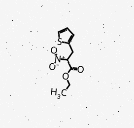 CCOC(=O)C(Cc1cccs1)[N+](=O)[O-]